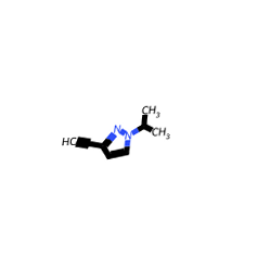 C#Cc1ccn(C(C)C)n1